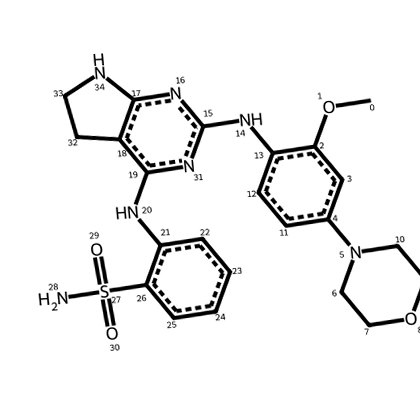 COc1cc(N2CCOCC2)ccc1Nc1nc2c(c(Nc3ccccc3S(N)(=O)=O)n1)CCN2